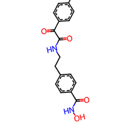 O=C(NCCc1ccc(C(=O)NO)cc1)C(=O)c1ccc(Cl)cc1